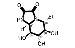 CC[C@@H]1[C@@H](O)[C@H](O)[C@@H](O)[C@H]2NC(=O)C(=O)N12